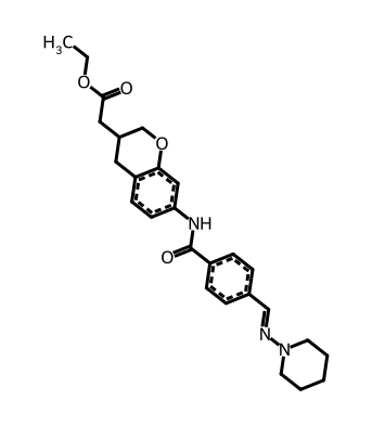 CCOC(=O)CC1COc2cc(NC(=O)c3ccc(/C=N/N4CCCCC4)cc3)ccc2C1